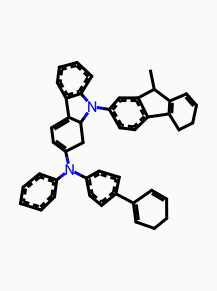 CC1C2=C(CCC=C2)c2ccc(N3c4ccccc4C4=CC=C(N(c5ccccc5)c5ccc(C6=CCCC=C6)cc5)CC43)cc21